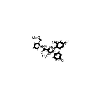 COC[C@@H]1CCCN1NC(=O)C1=NN(c2ccc(Cl)cc2Cl)[C@H](c2ccc(Cl)cc2)[C@@H]1C